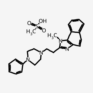 CS(=O)(=O)O.Cn1c(CCN2CCN(c3ccccc3)CC2)nc2ccc3ccccc3c21